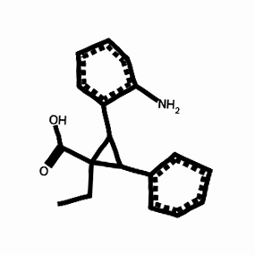 CCC1(C(=O)O)C(c2ccccc2)C1c1ccccc1N